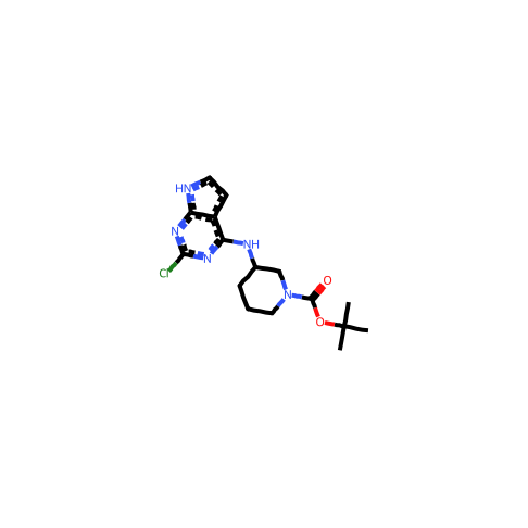 CC(C)(C)OC(=O)N1CCCC(Nc2nc(Cl)nc3[nH]ccc23)C1